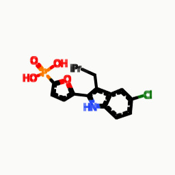 CC(C)Cc1c(-c2ccc(P(=O)(O)O)o2)[nH]c2ccc(Cl)cc12